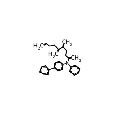 C=CCCC(=C)C(=C)CCC(=C)N(c1ccccc1)c1ccc(-c2ccccc2)cc1